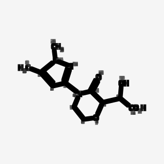 Cc1cc(N2CCOC(C(O)C(=O)O)C2=O)nn1C